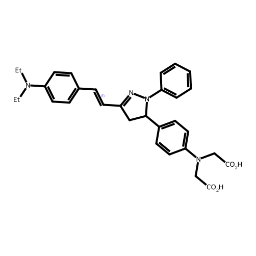 CCN(CC)c1ccc(/C=C/C2=NN(c3ccccc3)C(c3ccc(N(CC(=O)O)CC(=O)O)cc3)C2)cc1